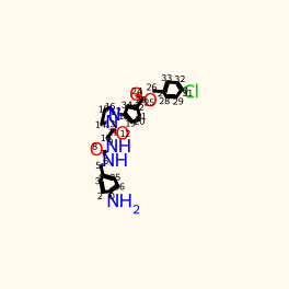 Nc1ccc(CNC(=O)NCC(=O)N2CCCN2c2cccc(C(=O)OCc3ccc(Cl)cc3)c2)cc1